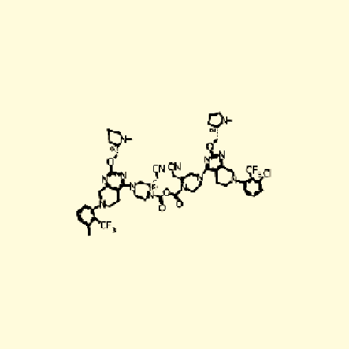 Cc1cccc(N2CCc3c(nc(OC[C@@H]4CCCN4C)nc3N3CCN(C(=O)OC(=O)N4CCN(c5nc(OC[C@@H]6CCCN6C)nc6c5CCN(c5cccc(Cl)c5C(F)(F)F)C6)C[C@@H]4CC#N)[C@@H](CC#N)C3)C2)c1C(F)(F)F